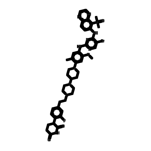 COc1cc(N2CCC(N3CCN(CCc4ccc(C5CCC(=O)NC5=O)c(F)c4)CC3)CC2)c(C)cc1Nc1ncc(Br)c(Nc2ccc3nccnc3c2P(C)(C)=O)n1